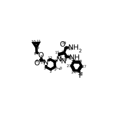 C[C@@H]1CCN(C(=O)OCC2CC2)C[C@H]1n1cc(C(N)=O)c(Nc2ccc(F)cc2)n1